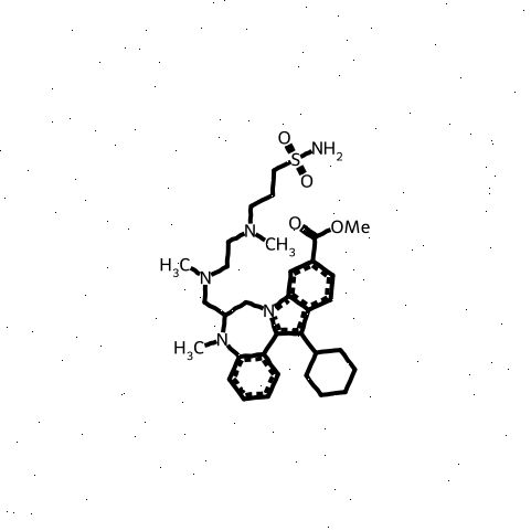 COC(=O)c1ccc2c(C3CCCCC3)c3n(c2c1)CC(CN(C)CCN(C)CCCS(N)(=O)=O)N(C)c1ccccc1-3